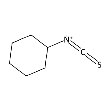 S=C=[N+]C1CCCCC1